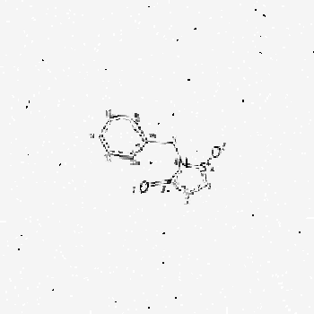 O=c1cc[s+]([O-])n1Cc1ccccc1